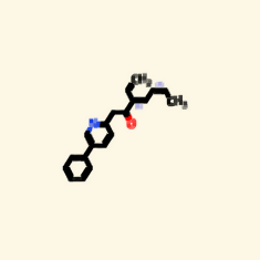 C=C/C(=C\C=C/C)C(=O)Cc1ccc(-c2ccccc2)cn1